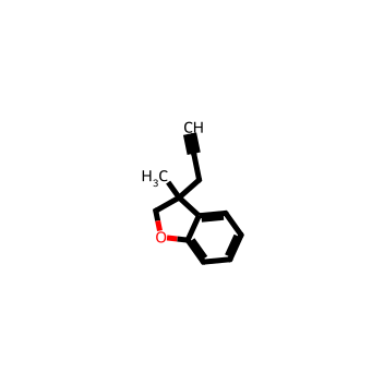 C#CCC1(C)COc2ccccc21